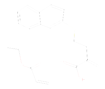 C=C(CCSc1ccc2ccccc2c1)C(=O)O.C=CC(=O)OCC